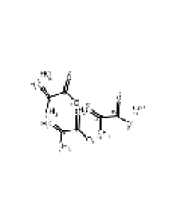 C=C(C)C(=O)[O-].C=C(C)C(=O)[O-].C=C(C)C(=O)[O-].Cl.[Cr+3]